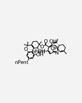 C=C(C)[C@@H]1CCC(C)=C[C@@]12C\C(O)=C(C(=O)OC1(C)CCC3=C(c4c(O)cc(CCCCC)cc4OC3(C)C)C1O)/C(CCCCC)=C\C(O)=N\2